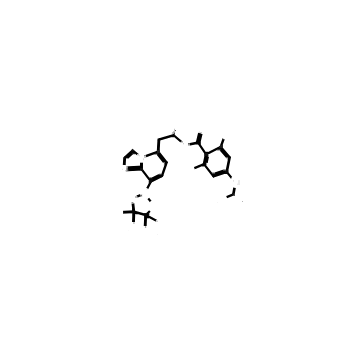 CC[C@@H](Nc1cc(F)c(C(=O)N[C@@H](Cc2ccc(B3OC(C)(C)C(C)(C)O3)c3nccn23)C(=O)O)c(F)c1)C(F)(F)F